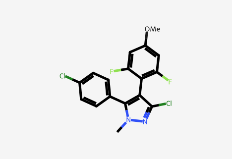 COc1cc(F)c(-c2c(Cl)nn(C)c2-c2ccc(Cl)cc2)c(F)c1